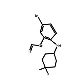 O=CNc1cc(Br)ccc1NC1CCC(F)(F)CC1